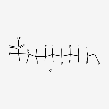 O=S(=O)([O-])C(F)(F)C(F)(F)C(F)(F)C(F)(F)C(F)(F)C(F)(F)C(F)(F)C(F)(F)C(F)(F)CF.[K+]